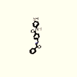 O=C(/C=C/c1ccc(C(=O)NC2=CCC(S)C=C2)cc1)c1ccccc1